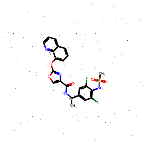 C[C@@H](NC(=O)c1coc(Oc2cccc3cccnc23)n1)c1cc(F)c(NS(C)(=O)=O)c(F)c1